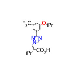 CC(C)Oc1cc(-c2ncn(/C=C(\C(=O)O)C(C)C)n2)cc(C(F)(F)F)c1